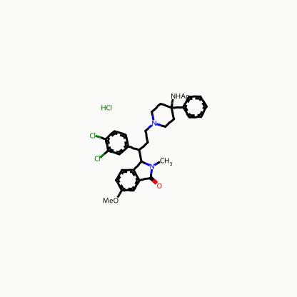 COc1ccc2c(c1)C(=O)N(C)C2C(CCN1CCC(NC(C)=O)(c2ccccc2)CC1)c1ccc(Cl)c(Cl)c1.Cl